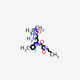 CCCCN1CC(C(=O)NC(Cc2cc(C)cc(F)c2)C[C@H](N)CNC(=O)N(C)C)CC1=O